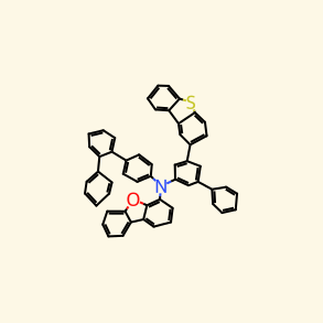 c1ccc(-c2cc(-c3ccc4sc5ccccc5c4c3)cc(N(c3ccc(-c4ccccc4-c4ccccc4)cc3)c3cccc4c3oc3ccccc34)c2)cc1